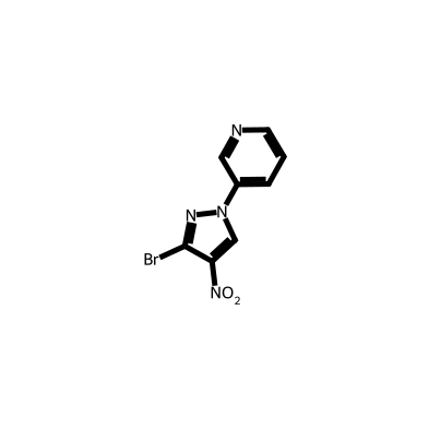 O=[N+]([O-])c1cn(-c2cccnc2)nc1Br